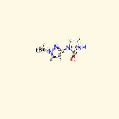 CC(C)(C)n1ccc(N2CCNC2=O)n1